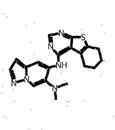 CN(C)c1cn2nccc2cc1Nc1ncnc2sc3c(c12)CC[CH]C3